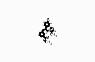 COC(=O)c1cccc(C=C(Cn2cncc2C)c2ccc(F)cc2)c1